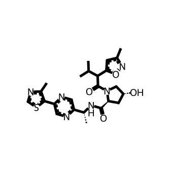 Cc1cc(C(C(=O)N2C[C@H](O)C[C@H]2C(=O)N[C@H](C)c2cnc(-c3scnc3C)cn2)C(C)C)on1